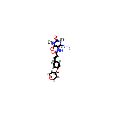 CCn1c(N)c(NC(=O)/C=C/c2ccc(OC3CCOCC3)cc2)c(=O)n(CC)c1=O